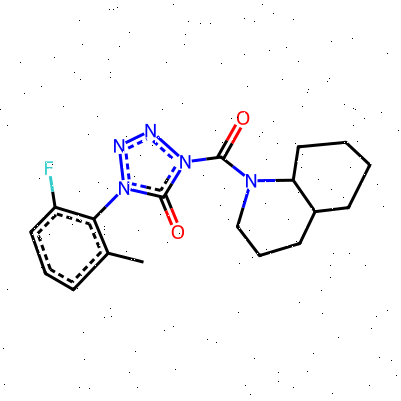 Cc1cccc(F)c1-n1nnn(C(=O)N2CCCC3CCCCC32)c1=O